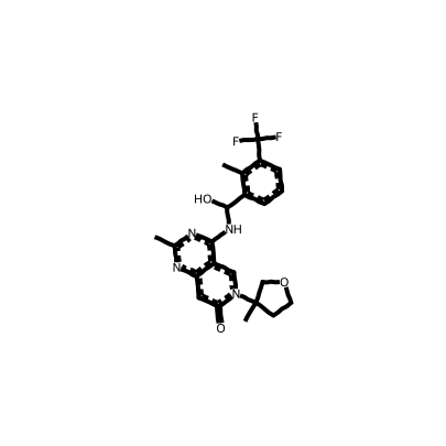 Cc1nc(NC(O)c2cccc(C(F)(F)F)c2C)c2cn(C3(C)CCOC3)c(=O)cc2n1